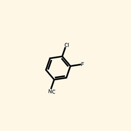 [C-]#[N+]c1ccc(Cl)c(F)c1